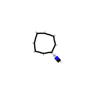 C#N.C1CCCCCCC1